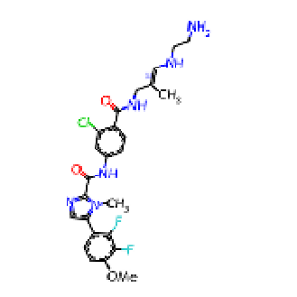 COc1ccc(-c2cnc(C(=O)Nc3ccc(C(=O)NC/C(C)=C/NCCN)c(Cl)c3)n2C)c(F)c1F